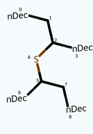 CCCCCCCCCCCC(CCCCCCCCCC)SC(CCCCCCCCCC)CCCCCCCCCCC